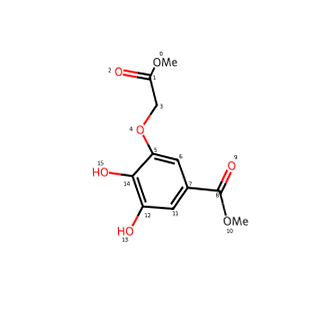 COC(=O)COc1cc(C(=O)OC)cc(O)c1O